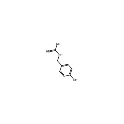 [NH]c1ccc(CNC(=N)N)cc1